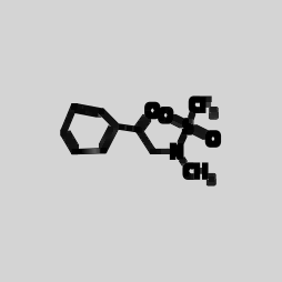 CN(CC(=O)c1ccccc1)S(=O)(=O)C(F)(F)F